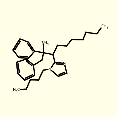 CCCCCCCC(c1nccn1CCCCC)C(C)(Cc1ccccc1)c1ccccc1